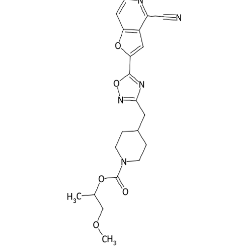 COCC(C)OC(=O)N1CCC(Cc2noc(-c3cc4c(C#N)nccc4o3)n2)CC1